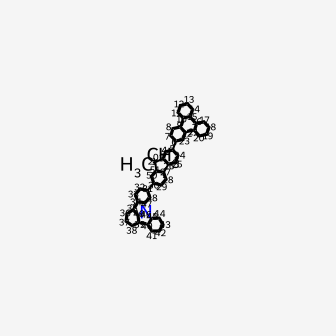 CC1(C)c2cc(-c3ccc4c5ccccc5c5ccccc5c4c3)ccc2-c2ccc(-c3ccc4c5cccc6c7ccccc7n(c4c3)c65)cc21